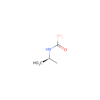 BC(=O)N[C@@H](C)C(=O)O